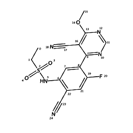 CCS(=O)(=O)Nc1cc(-c2ncnc(OC)c2C#N)c(F)cc1C#N